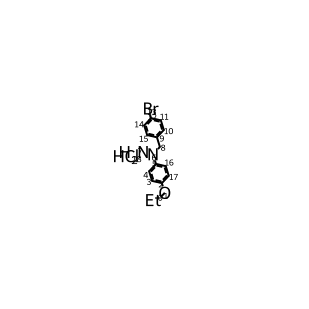 CCOc1ccc(N(N)Cc2ccc(Br)cc2)cc1.Cl